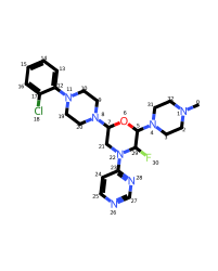 CN1CCN(C2OC(N3CCN(c4ccccc4Cl)CC3)CN(c3ccncn3)C2F)CC1